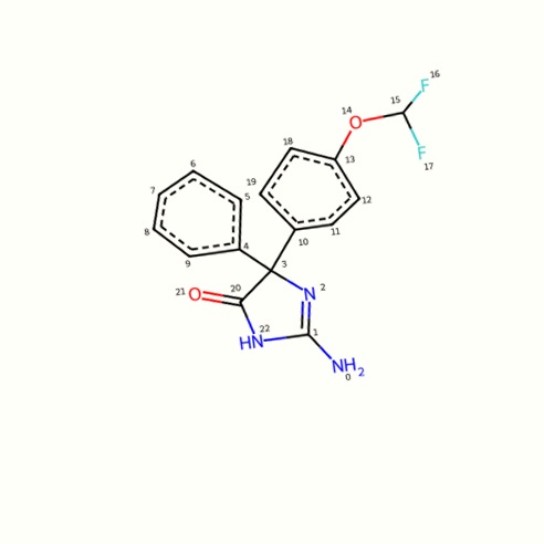 NC1=NC(c2ccccc2)(c2ccc(OC(F)F)cc2)C(=O)N1